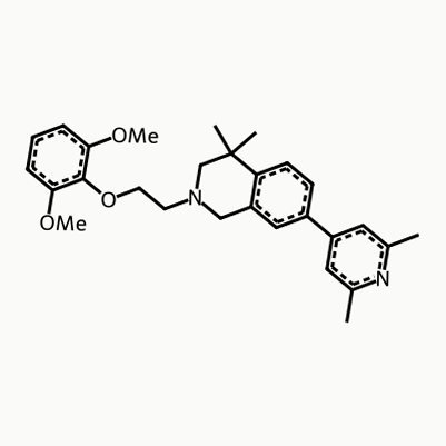 COc1cccc(OC)c1OCCN1Cc2cc(-c3cc(C)nc(C)c3)ccc2C(C)(C)C1